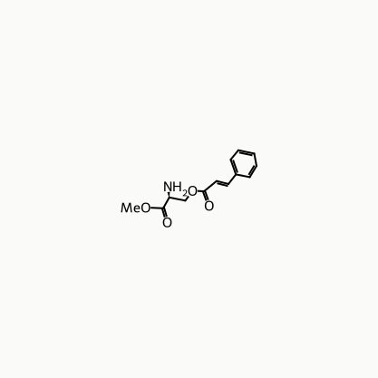 COC(=O)[C@@H](N)COC(=O)C=Cc1ccccc1